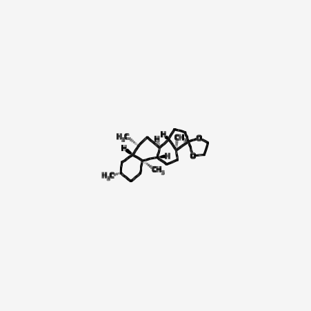 C[C@H]1CC[C@@]2(C)[C@H](C1)[C@H](C)C[C@@H]1[C@@H]2CC[C@@]2(C)[C@H]1CCC21OCCO1